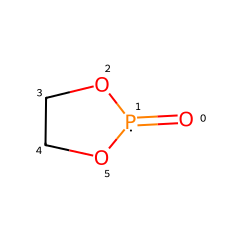 O=[P]1OCCO1